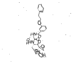 CC(C)C[C@H](NC(=O)[C@H](CO)NC(=O)c1cccc(OCCc2ccccc2)c1)C(=O)[C@]1(CO)CO1